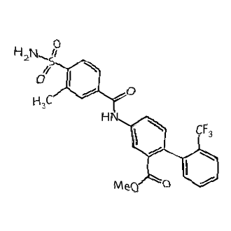 COC(=O)c1cc(NC(=O)c2ccc(S(N)(=O)=O)c(C)c2)ccc1-c1ccccc1C(F)(F)F